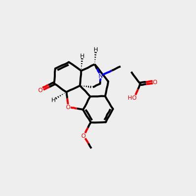 CC(=O)O.COC1=C2O[C@H]3C(=O)C=C[C@H]4[C@H]5CC(C=C1)C2[C@@]34CCN5C